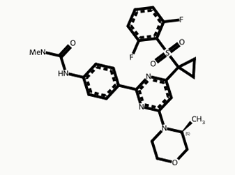 CNC(=O)Nc1ccc(-c2nc(N3CCOC[C@@H]3C)cc(C3(S(=O)(=O)c4c(F)cccc4F)CC3)n2)cc1